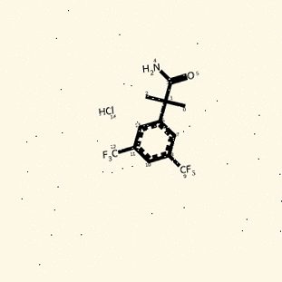 CC(C)(C(N)=O)c1cc(C(F)(F)F)cc(C(F)(F)F)c1.Cl